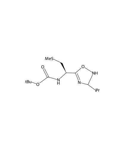 CSC[C@H](NC(=O)OC(C)(C)C)C1=NC(C(C)C)NO1